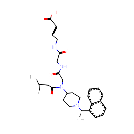 CC(C)CC(=O)N(CC(=O)NCC(=O)NC/C=C/C(=O)O)C1CCN([C@H](C)c2cccc3ccccc23)CC1